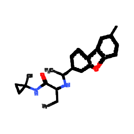 Cc1ccc2oc3cc(C(NC(CC(C)C)C(=O)NC4(C#N)CC4)C(F)(F)F)ccc3c2c1